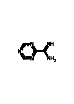 N=C(N)c1ncncn1